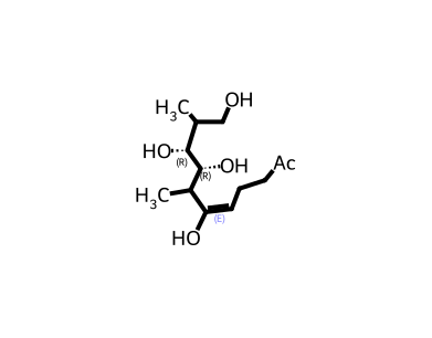 CC(=O)CC/C=C(/O)C(C)[C@@H](O)[C@H](O)C(C)CO